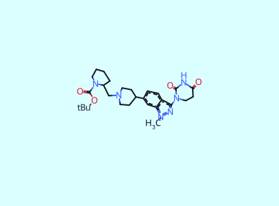 Cn1nc(N2CCC(=O)NC2=O)c2ccc(C3CCN(CC4CCCCN4C(=O)OC(C)(C)C)CC3)cc21